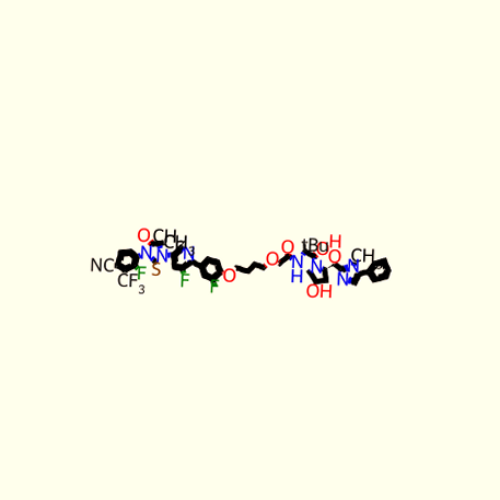 Cn1c(-c2ccccc2)cnc1C(O)[C@@H]1C[C@@H](O)CN1C(=O)[C@@H](NC(=O)COCCCCOc1ccc(-c2ncc(N3C(=S)N(c4ccc(C#N)c(C(F)(F)F)c4F)C(=O)C3(C)C)cc2F)cc1F)C(C)(C)C